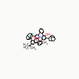 CC(C)(C)c1cc(-c2ccccc2-c2cc(C(F)(F)F)cc(-c3ccccc3-c3cc(C(C)(C)C)cc(C45CC6CC(CC(C6)C4)C5)c3O)n2)c(O)c(C2CC3CC4CCC2C(C4)C3)c1